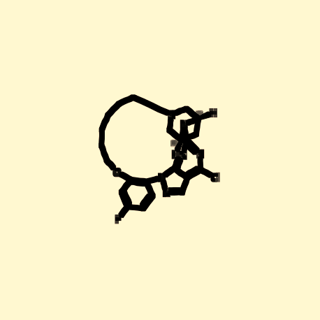 Fc1ccc2c(c1)OCCCCCCN1C[C@H]3C[C@@H](C1)N3c1nc(Cl)c3cnn-2c3n1